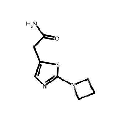 NC(=O)Cc1cnc(N2CCC2)s1